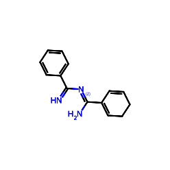 N=C(/N=C(\N)C1=CCCC=C1)c1ccccc1